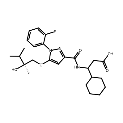 CC(C)[C@](C)(O)COc1cc(C(=O)NC(CC(=O)O)C2CCCCC2)nn1-c1ccccc1F